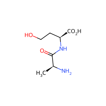 C[C@H](N)C(=O)N[C@@H](CCO)C(=O)O